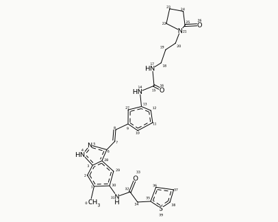 Cc1cc2[nH]nc(/C=C/c3cccc(NC(=O)NCCCN4CCCC4=O)c3)c2cc1NC(=O)Cc1cccs1